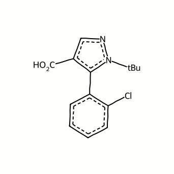 CC(C)(C)n1ncc(C(=O)O)c1-c1ccccc1Cl